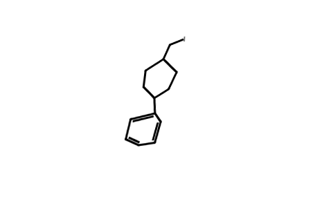 ICC1CCC(c2ccccc2)CC1